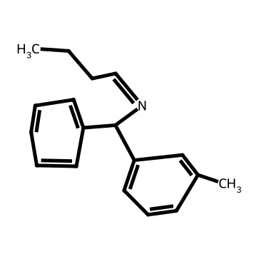 CCC/C=N\C(c1ccccc1)c1cccc(C)c1